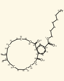 CC(C)CCCCCCOC(=O)c1ccc2c(c1)C(=O)OCCCCCCC(C)C(C)CCCCCCOC2=O